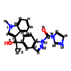 Cn1cc(C(O)(c2ccc3c(cnn3C(=O)n3ccnc3)c2)C(F)(F)F)c2ccccc21